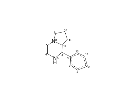 c1ccc(C2NCCN3CCCC23)cc1